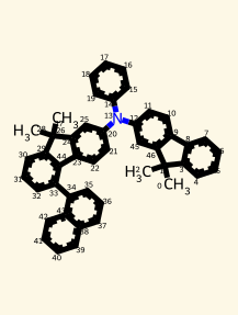 CC1(C)c2ccccc2-c2ccc(N(c3ccccc3)c3ccc4c(c3)C(C)(C)c3cccc(-c5cccc6ccccc56)c3-4)cc21